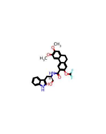 COc1cc2c(cc1OC)-c1cc(C(=O)N[C@@H](CO)Cc3c[nH]c4ccccc34)c(OC(F)F)cc1CC2